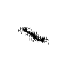 Cc1cc(CCOCOCC(C)(C)C2OCC3(CO2)COC(C(C)(C)COC(=O)CCc2cc(C)c(O)c(C)c2)OC3)cc(C)c1O